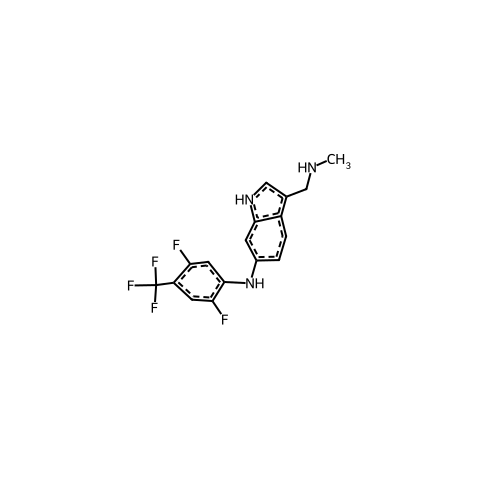 CNCc1c[nH]c2cc(Nc3cc(F)c(C(F)(F)F)cc3F)ccc12